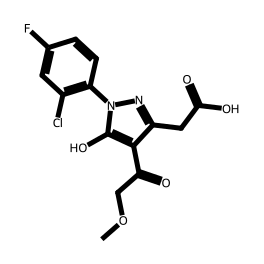 COCC(=O)c1c(CC(=O)O)nn(-c2ccc(F)cc2Cl)c1O